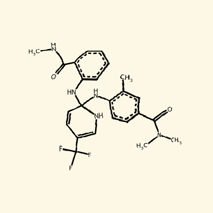 CNC(=O)c1ccccc1NC1(Nc2ccc(C(=O)N(C)C)cc2C)C=CC(C(F)(F)F)=CN1